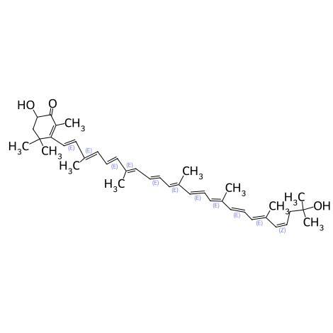 CC1=C(/C=C/C(C)=C/C=C/C(C)=C/C=C/C=C(C)/C=C/C=C(C)/C=C/C=C(C)/C=C\CC(C)(C)O)C(C)(C)CC(O)C1=O